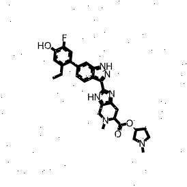 CCc1cc(O)c(F)cc1-c1ccc2c(-c3nc4c([nH]3)CN(C)C(C(=O)O[C@@H]3CCN(C)C3)C4)n[nH]c2c1